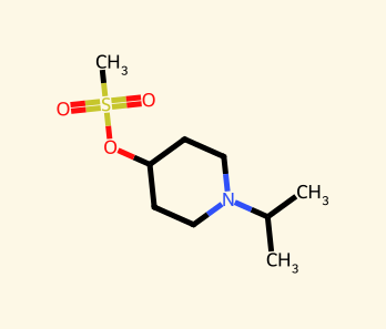 CC(C)N1CCC(OS(C)(=O)=O)CC1